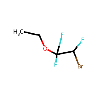 CCOC(F)(F)C(F)Br